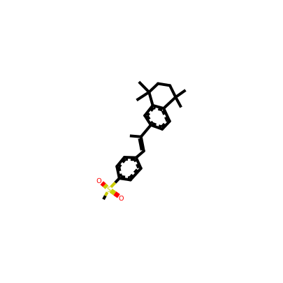 C/C(=C\c1ccc(S(C)(=O)=O)cc1)c1ccc2c(c1)C(C)(C)CCC2(C)C